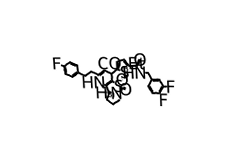 CCOC(=O)C1=C(CCc2ccc(F)cc2)NC2=C(C1c1ccc(C(=O)NCc3ccc(F)c(F)c3)s1)S(=O)(=O)N1CCC[C@@H]21